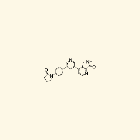 O=C1NCc2c(-c3cncc(-c4ccc(N5CCCC5=O)cc4)c3)ccnc21